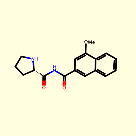 COc1cc(C(=O)NC(=O)[C@@H]2CCCN2)cc2ccccc12